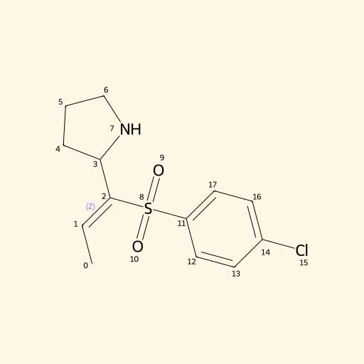 C/C=C(/C1CCCN1)S(=O)(=O)c1ccc(Cl)cc1